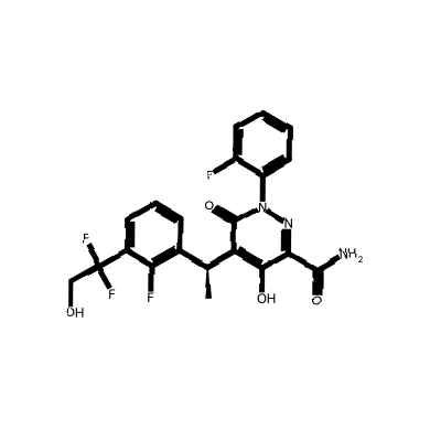 C[C@@H](c1cccc(C(F)(F)CO)c1F)c1c(O)c(C(N)=O)nn(-c2ccccc2F)c1=O